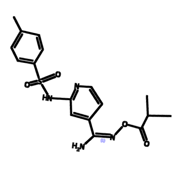 Cc1ccc(S(=O)(=O)Nc2cc(/C(N)=N\OC(=O)C(C)C)ccn2)cc1